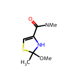 CNC(=O)C1=CSC(C)(OC)N1